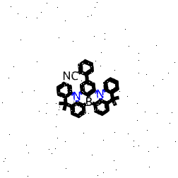 CC1(C)c2ccccc2N2c3cc(-c4ccccc4C#N)cc4c3B(c3cccc1c32)c1cccc2c1N4c1ccccc1C2(C)C